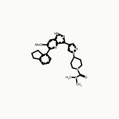 COc1cc2[nH]nc(-c3cnn(C4CCN(C(=O)N(C)C)CC4)c3)c2nc1-c1cccc2c1CCC2